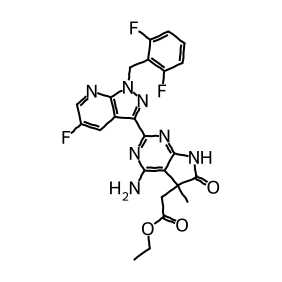 CCOC(=O)CC1(C)C(=O)Nc2nc(-c3nn(Cc4c(F)cccc4F)c4ncc(F)cc34)nc(N)c21